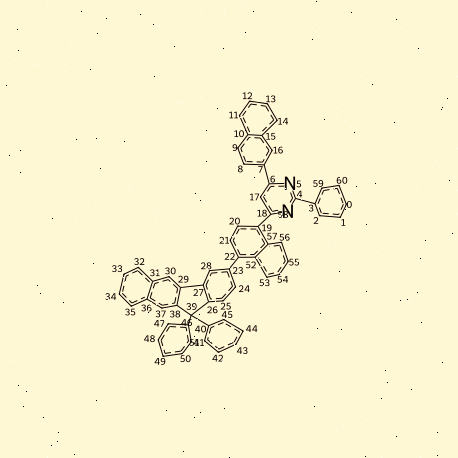 c1ccc(-c2nc(-c3ccc4ccccc4c3)cc(-c3ccc(-c4ccc5c(c4)-c4cc6ccccc6cc4C5(c4ccccc4)c4ccccc4)c4ccccc34)n2)cc1